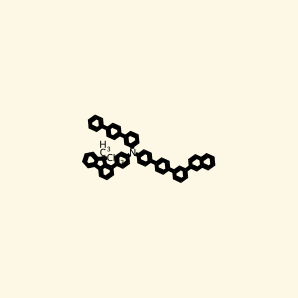 CC1(C)c2ccccc2-c2cccc(-c3ccc(N(c4ccc(-c5ccc(-c6cccc(-c7ccc8ccccc8c7)c6)cc5)cc4)c4cccc(-c5ccc(-c6ccccc6)cc5)c4)cc3)c21